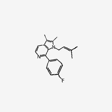 CC(C)=CCn1c(C)c(C)c2ccnc(-c3ccc(F)cc3)c21